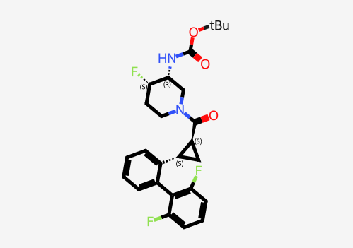 CC(C)(C)OC(=O)N[C@@H]1CN(C(=O)[C@H]2C[C@@H]2c2ccccc2-c2c(F)cccc2F)CC[C@@H]1F